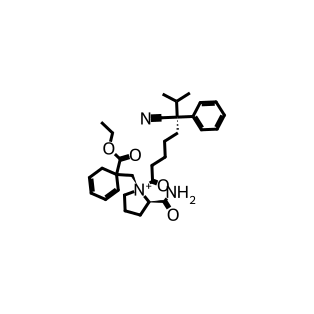 CCOC(=O)C1(C[N@+]2(C(=O)CCCC[C@@](C#N)(c3ccccc3)C(C)C)CCC[C@@H]2C(N)=O)C=CC=CC1